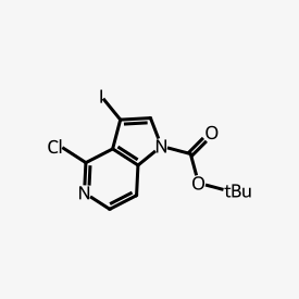 CC(C)(C)OC(=O)n1cc(I)c2c(Cl)nccc21